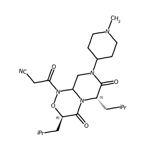 CC(C)C[C@H]1ON(C(=O)CC#N)C2CN(C3CCN(C)CC3)C(=O)[C@H](CC(C)C)N2C1=O